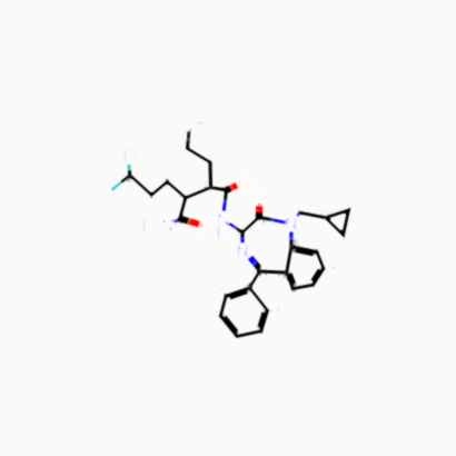 NC(=O)C(CCC(F)F)C(CCC(F)(F)F)C(=O)NC1N=C(c2ccccc2)c2ccccc2N(CC2CC2)C1=O